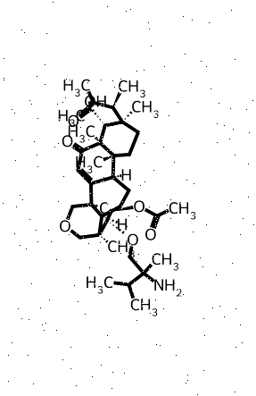 CC(=O)O[C@@H]1C[C@@]23COC[C@@](C)([C@@H]2CC[C@H]2C3=CC(=O)[C@@]3(C)[C@H](C(=O)O)[C@@](C)([C@H](C)C(C)C)CC[C@]23C)[C@H]1OCC(C)(N)C(C)C